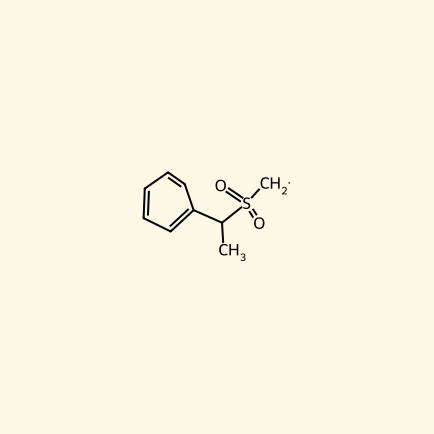 [CH2]S(=O)(=O)C(C)c1ccccc1